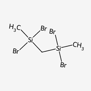 C[Si](Br)(Br)C[Si](C)(Br)Br